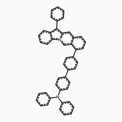 c1ccc(-c2c3ccccc3n3cc4c(-c5ccc(-c6ccc(N(c7ccccc7)c7ccccc7)cc6)cc5)cccc4cc23)cc1